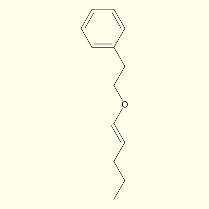 CCCC=COCCc1ccccc1